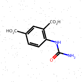 NC(=O)Nc1ccc(C(=O)O)cc1C(=O)O